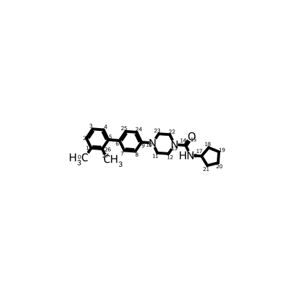 Cc1cccc(-c2ccc(N3CCN(C(=O)NC4CCCC4)CC3)cc2)c1C